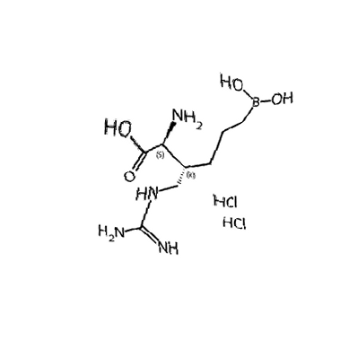 Cl.Cl.N=C(N)NC[C@@H](CCCB(O)O)[C@H](N)C(=O)O